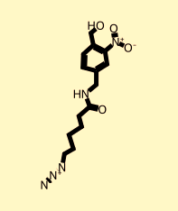 [N-]=[N+]=NCCCCCC(=O)NCc1ccc(CO)c([N+](=O)[O-])c1